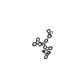 c1ccc2c(c1)-c1cc(N(c3ccc(-c4ccc5oc6ccccc6c5c4)cc3)c3ccc4c5ccccc5c5ccccc5c4c3)ccc1C21c2ccccc2-n2c3ccccc3c3cccc1c32